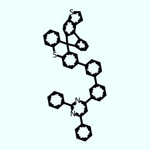 c1ccc(-c2cc(-c3cccc(-c4cccc(-c5ccc6c(c5)C5(c7ccccc7S6)c6ccccc6-c6c5ccc5sccc65)c4)c3)nc(-c3ccccc3)n2)cc1